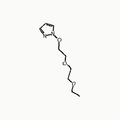 CCOCCOCCOn1cccn1